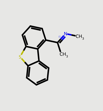 C/N=C(\C)c1cccc2sc3ccccc3c12